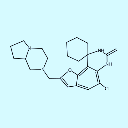 C=C1Nc2c(Cl)cc3cc(CN4CCN5CCCC5C4)oc3c2C2(CCCCC2)N1